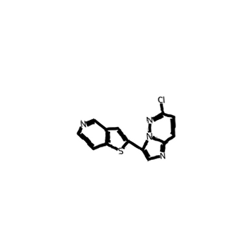 Clc1ccc2ncc(-c3cc4cnccc4s3)n2n1